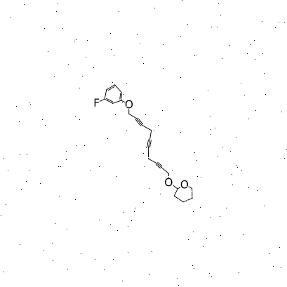 Fc1cccc(OCC#CCC#CCC#CCOC2CCCCO2)c1